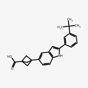 CC(C)(C)c1cccc(-c2cc3cc(C45CC(C(=O)O)(C4)C5)ccc3[nH]2)c1